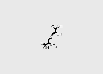 NC(CSC=C(O)C(=O)O)C(=O)O